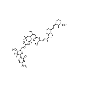 C=C1/C(=C\C=C2/CCC[C@@]3(C)C2CCC3[C@@H](C)/C=C/C(OC(=O)CC(CC)C2CC(C)(C)CC(C)(NC(=O)OCC3OC(n4ccc(N)nc4=O)C(F)(F)C3O)C2)C2CC2)CCC[C@@H]1O